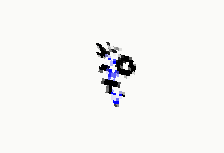 C=C1N(C(C)(C)CN(C)C)c2ccccc2N1C(C)(C)C(C)=O